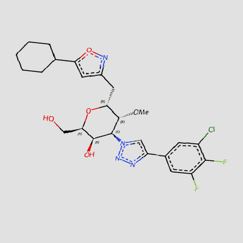 CO[C@@H]1[C@@H](n2cc(-c3cc(F)c(F)c(Cl)c3)nn2)[C@@H](O)[C@@H](CO)O[C@@H]1Cc1cc(C2CCCCC2)on1